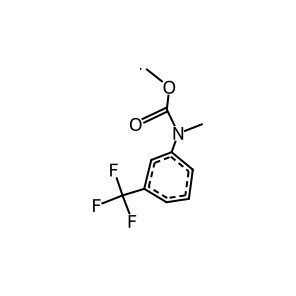 [CH2]OC(=O)N(C)c1cccc(C(F)(F)F)c1